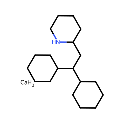 C1CCC(C(CC2CCCCN2)C2CCCCC2)CC1.[CaH2]